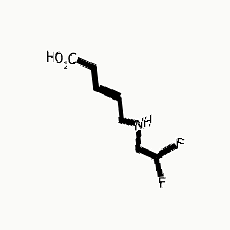 O=C(O)CC=CCNCC(F)F